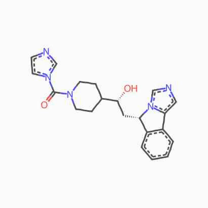 O=C(N1CCC([C@H](O)C[C@H]2c3ccccc3-c3cncn32)CC1)n1ccnc1